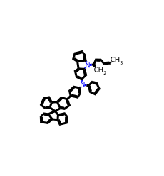 C=C(/C=C\C=C/C)n1c2ccccc2c2ccc(N(c3ccccc3)c3ccc(-c4ccc5c(c4)-c4ccccc4C54c5ccccc5-c5ccccc54)cc3)cc21